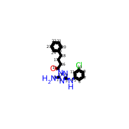 Nc1nc(Nc2cccc(Cl)c2)nn1C(=O)CCCc1ccccc1